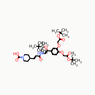 CC(C)(C)OC(=O)COc1ccc(/C(=C/NC(=O)/C=C/C2CCN(C(=O)O)CC2)O[Si](C)(C)C(C)(C)C)cc1OCC(=O)OC(C)(C)C